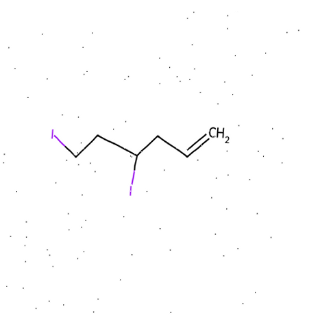 C=CCC(I)CCI